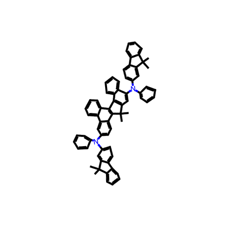 CC1(C)c2ccccc2-c2ccc(N(c3ccccc3)c3ccc4c5c(c6ccccc6c4c3)-c3c(cc(N(c4ccccc4)c4ccc6c(c4)C(C)(C)c4ccccc4-6)c4ccccc34)C5(C)C)cc21